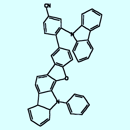 N#Cc1ccc(-c2ccc3oc4c5c(ccc4c3c2)C2C=CC=CC2N5c2ccccc2)c(-n2c3ccccc3c3ccccc32)c1